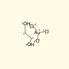 OCCO.[Cl][Au]([Cl])[Cl]